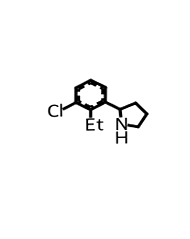 CCc1c(Cl)cccc1C1CCCN1